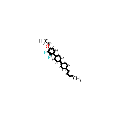 CC/C=C\CC1CCC(C2CCC(c3ccc(OCC)c(F)c3F)CC2)CC1